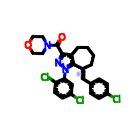 O=C(c1nn(-c2cc(Cl)ccc2Cl)c2c1CCCC/C2=C\c1ccc(Cl)cc1)N1CCOCC1